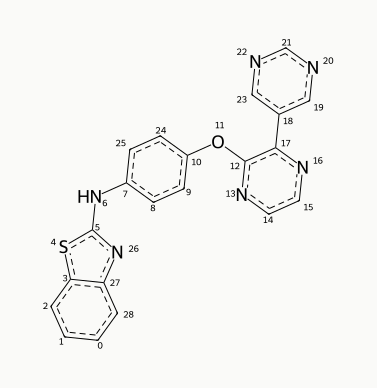 c1ccc2sc(Nc3ccc(Oc4nccnc4-c4cncnc4)cc3)nc2c1